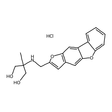 CC(CO)(CO)NCc1cc2cc3oc4ccccc4c3cc2o1.Cl